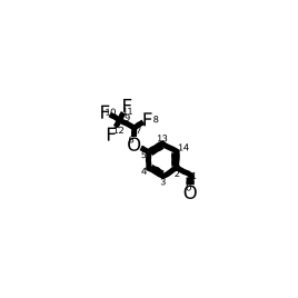 O=Cc1ccc(OC(F)C(F)(F)F)cc1